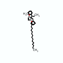 CCCCCCCCCCCCCCCCCN1C=CN(CC)C1(Cc1ccccc1)C(CC)c1ccccc1